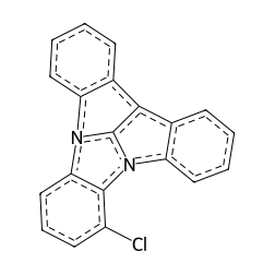 Clc1cccc2c1n1c3ccccc3c3c4ccccc4n2c31